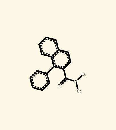 CCN(CC)C(=O)c1ccc2ccccc2c1-c1ccccc1